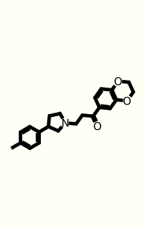 Cc1ccc(C2CCN(CCC(=O)c3ccc4c(c3)OCCO4)C2)cc1